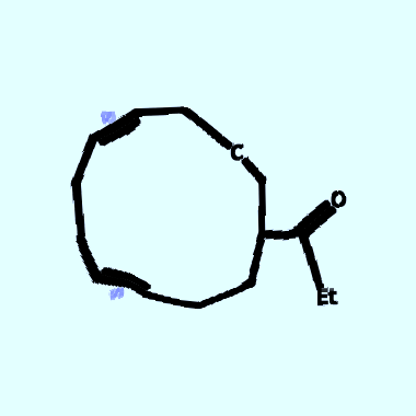 CCC(=O)C1CC/C=C\CC/C=C\CCC1